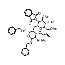 C=CCO[C@@H]1[C@H](NC(C)=O)[C@@H](OCc2ccccc2)O[C@H](COCc2ccccc2)[C@H]1O[C@@H]1O[C@H](COC(C)=O)[C@@H](OC(C)=O)[C@H](OC(C)=O)[C@@H]1N1C(=O)c2ccccc2C1=O